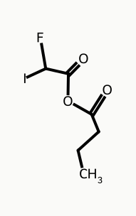 CCCC(=O)OC(=O)C(F)I